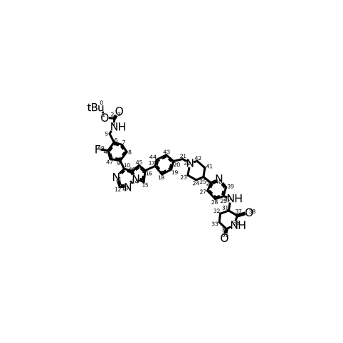 CC(C)(C)OC(=O)NCc1ccc(-c2ncnn3cc(-c4ccc(CN5CCC(c6ccc(NC7CCC(=O)NC7=O)cn6)CC5)cc4)cc23)cc1F